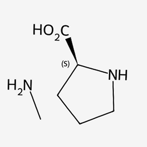 CN.O=C(O)[C@@H]1CCCN1